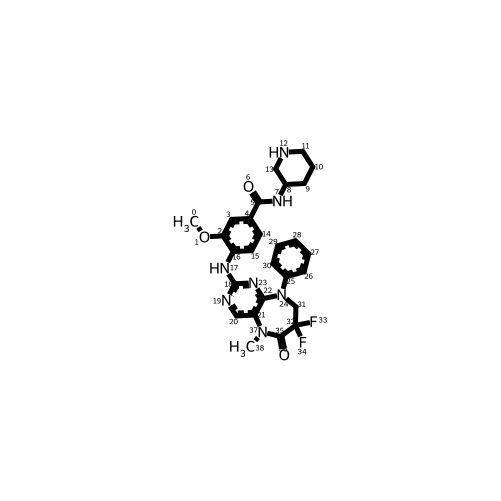 COc1cc(C(=O)NC2CCCNC2)ccc1Nc1ncc2c(n1)N(c1ccccc1)CC(F)(F)C(=O)N2C